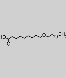 COCCOCCCCCCCCC(=O)O